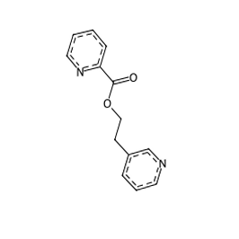 O=C(OCCc1cccnc1)c1ccccn1